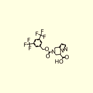 O=C(O)C1CN(C(=O)OCc2cc(C(F)(F)F)cc(C(F)(F)F)c2)Cc2ccnn21